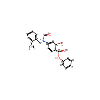 Cc1ccccc1CN(C=O)c1ccc(C(=O)Oc2ccccc2)c(Br)c1